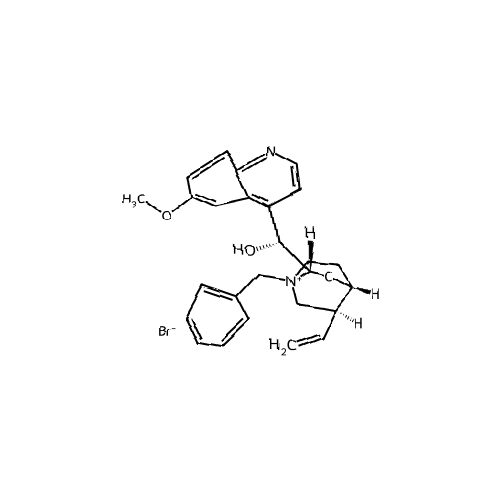 C=C[C@H]1C[N+]2(Cc3ccccc3)CC[C@H]1C[C@H]2[C@H](O)c1ccnc2ccc(OC)cc12.[Br-]